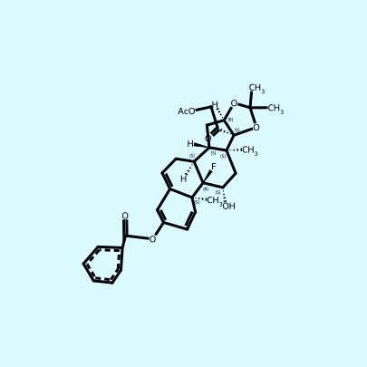 CC(=O)OCC(=O)[C@@]12OC(C)(C)O[C@@H]1C[C@H]1[C@@H]3CC=C4C=C(OC(=O)c5ccccc5)C=C[C@]4(C)[C@@]3(F)[C@@H](O)C[C@@]12C